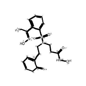 NC(=NO)c1ccccc1S(=O)(=O)N(CCC(=O)NO)CCC1=CC=CCC1=S